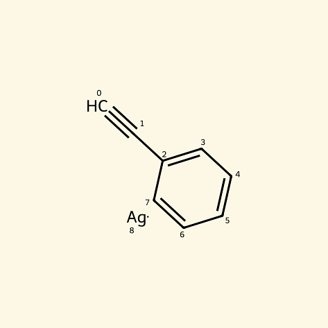 C#Cc1ccccc1.[Ag]